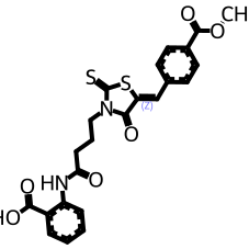 COC(=O)c1ccc(/C=C2\SC(=S)N(CCCC(=O)Nc3ccccc3C(=O)O)C2=O)cc1